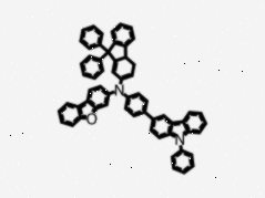 C1=C(N(c2ccc(-c3ccc4c(c3)c3ccccc3n4-c3ccccc3)cc2)c2ccc3c(c2)oc2ccccc23)C=C2C(C1)c1ccccc1C2(c1ccccc1)c1ccccc1